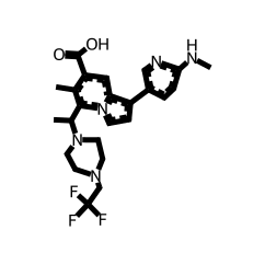 CNc1ccc(-c2ccn3c(C(C)N4CCN(CC(F)(F)F)CC4)c(C)c(C(=O)O)cc23)cn1